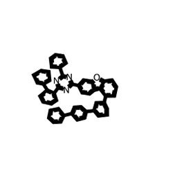 c1ccc(-c2ccc(-c3cccc(-c4cccc5oc6cc(-c7nc(-c8ccccc8)nc(-c8ccccc8-c8ccccc8)n7)ccc6c45)c3)cc2)cc1